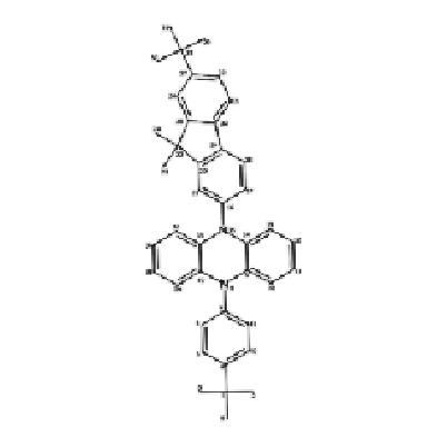 CC(C)(C)c1ccc(N2c3ccccc3N(c3ccc4c(c3)C(C)(C)c3cc(C(C)(C)C)ccc3-4)c3ccccc32)cc1